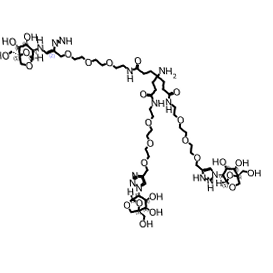 N=N/C(=C\N[C@H]1[C@H]2OC[C@](CO)(O2)[C@H](O)[C@@H]1O)COCCOCCOCCNC(=O)CCC(N)(CCC(=O)NCCOCCOCCOCC1=CN([C@H]2[C@H]3OC[C@](CO)(O3)[C@H](O)[C@@H]2O)NN1)CCC(=O)NCCOCCOCCOCc1cn([C@H]2[C@H]3OC[C@](CO)(O3)[C@H](O)[C@@H]2O)nn1